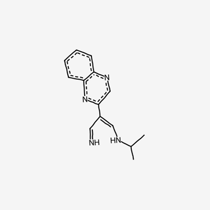 CC(C)N/C=C(\C=N)c1cnc2ccccc2n1